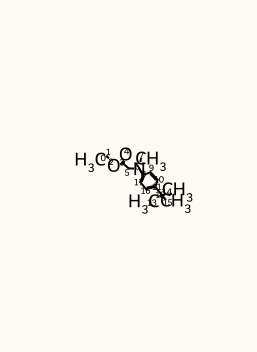 CCOC(=O)CN(C)c1ccc(C(C)(C)C)cc1